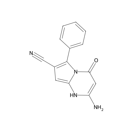 N#Cc1cc2[nH]c(N)cc(=O)n2c1-c1ccccc1